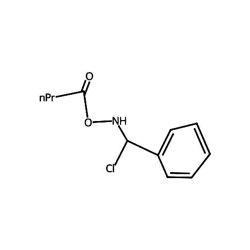 CCCC(=O)ONC(Cl)c1ccccc1